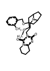 COCC1(OCc2ccccc2C)CC2CCC(C1)N2CCCn1c(=O)nc2n(c1=O)CCCC2